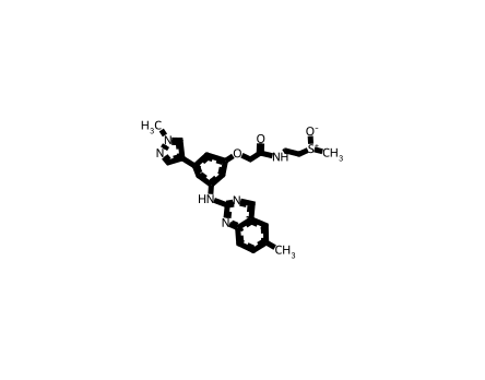 Cc1ccc2nc(Nc3cc(OCC(=O)NCC[S+](C)[O-])cc(-c4cnn(C)c4)c3)ncc2c1